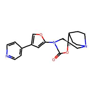 O=C1O[C@]2(CN3CCC2CC3)CN1c1cc(-c2ccncc2)co1